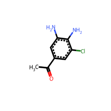 CC(=O)c1cc(N)c(N)c(Cl)c1